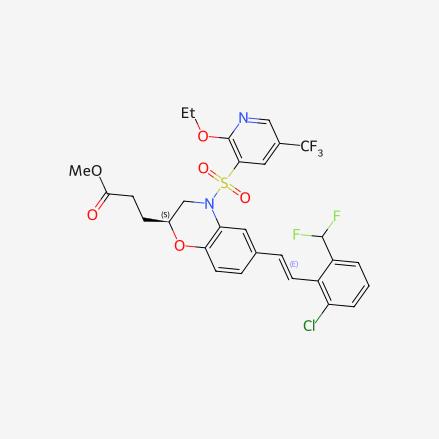 CCOc1ncc(C(F)(F)F)cc1S(=O)(=O)N1C[C@H](CCC(=O)OC)Oc2ccc(/C=C/c3c(Cl)cccc3C(F)F)cc21